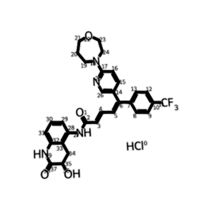 Cl.O=C(C=CC=C(c1ccc(C(F)(F)F)cc1)c1ccc(N2CCCOCC2)nc1)Nc1cccc2c1CC(O)C(=O)N2